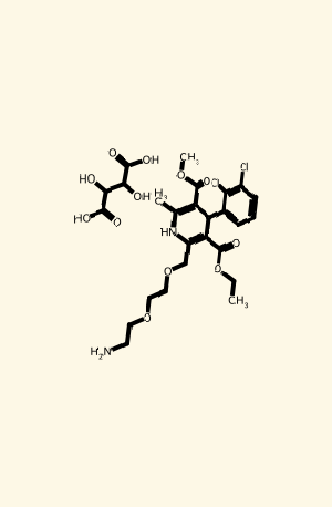 CCOC(=O)C1=C(COCCOCCN)NC(C)=C(C(=O)OC)C1c1cccc(Cl)c1Cl.O=C(O)C(O)C(O)C(=O)O